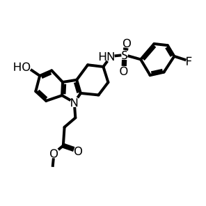 COC(=O)CCn1c2c(c3cc(O)ccc31)CC(NS(=O)(=O)c1ccc(F)cc1)CC2